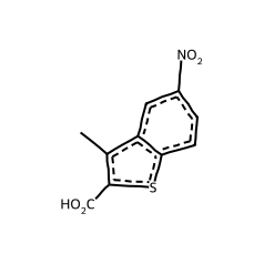 Cc1c(C(=O)O)sc2ccc([N+](=O)[O-])cc12